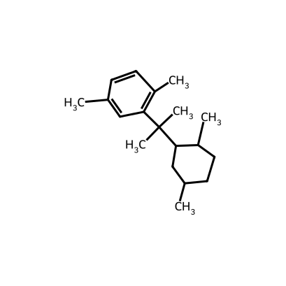 Cc1ccc(C)c(C(C)(C)C2CC(C)CCC2C)c1